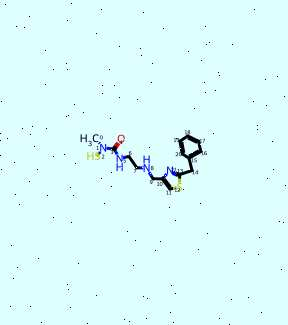 CN(S)C(=O)NCCNCc1csc(Cc2ccccc2)n1